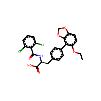 CCOc1ccc2c(c1-c1ccc(C[C@H](NC(=O)c3c(Cl)cccc3Cl)C(=O)O)cc1)OCO2